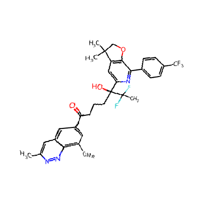 COc1cc(C(=O)CCCC(O)(c2cc3c(c(-c4ccc(C(F)(F)F)cc4)n2)OCC3(C)C)C(C)(F)F)cc2cc(C)nnc12